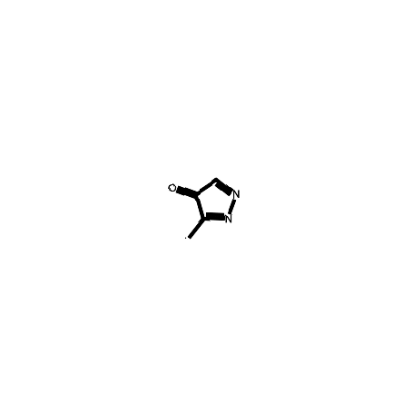 [CH2]C1=NN=CC1=O